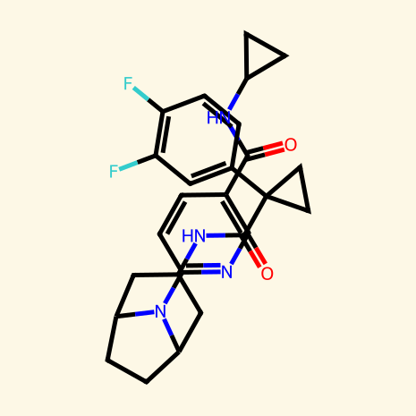 O=C(NC1CC1)c1ccc(N2C3CCC2CC(NC(=O)C2(c4ccc(F)c(F)c4)CC2)C3)nc1